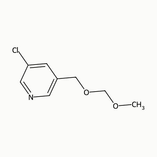 COCOCc1cncc(Cl)c1